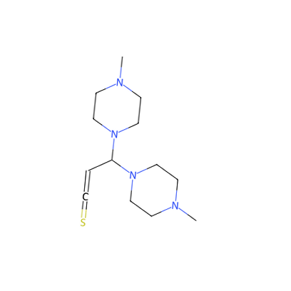 CN1CCN(C(C=C=S)N2CCN(C)CC2)CC1